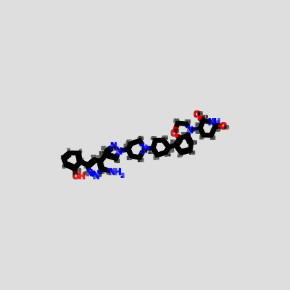 Nc1nnc(-c2ccccc2O)cc1-c1cnn(C2CCN(C3CCC(c4cccc5c4OCCN5[C@@H]4CCC(=O)NC4=O)CC3)CC2)c1